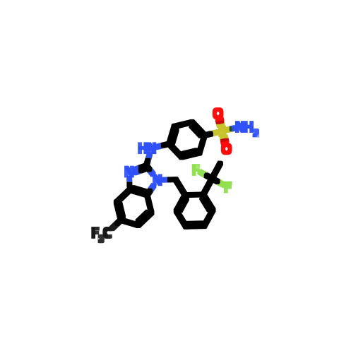 CC(F)(F)c1ccccc1Cn1c(Nc2ccc(S(N)(=O)=O)cc2)nc2cc(C(F)(F)F)ccc21